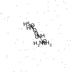 NC(=O)C(N)CCCCNC(=O)COCCOCCNC(=O)CCS